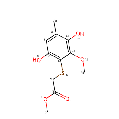 COC(=O)CSc1c(O)cc(C)c(O)c1OC